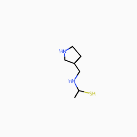 CC(S)NCC1CCNC1